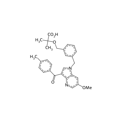 COc1cnc2c(C(=O)c3ccc(C)cc3)cn(Cc3cccc(COC(C)(C)C(=O)O)c3)c2c1